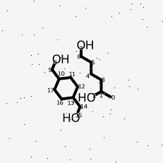 CC(O)CCCCO.OCC1CCC(CO)CC1